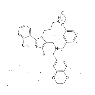 CCCCn1c(-c2ccccc2C)nc(F)c1CN(Cc1cccc(OCC)c1)Cc1ccc2c(c1)OCCO2